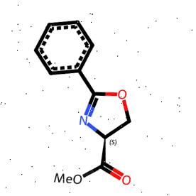 COC(=O)[C@@H]1COC(c2ccccc2)=N1